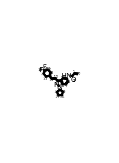 C=CC(=O)Nc1ccc2c(c1)c(C=CC1CCC(F)(F)CC1)nn2C1CCCC1